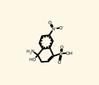 NC1(O)CC=C(S(=O)(=O)O)c2cc([N+](=O)[O-])ccc21